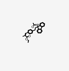 CCOC(=O)C(C)=Cc1ccc(CCC2(NC(C)=O)c3ccccc3-c3ccccc32)cc1